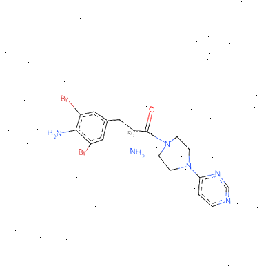 Nc1c(Br)cc(C[C@@H](N)C(=O)N2CCN(c3ccncn3)CC2)cc1Br